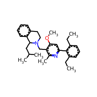 CCc1cccc(CC)c1-c1cc(OC)c(CN2CCc3ccccc3C2CC(C)C)c(C)n1